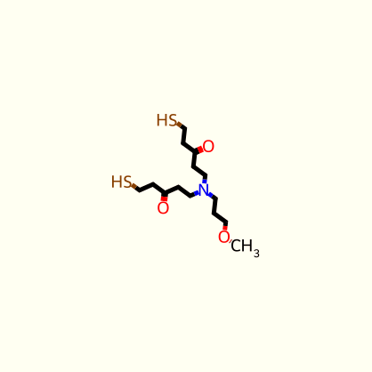 COCCCN(CCC(=O)CCS)CCC(=O)CCS